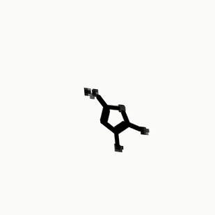 Cc1cc(Br)c(Br)o1